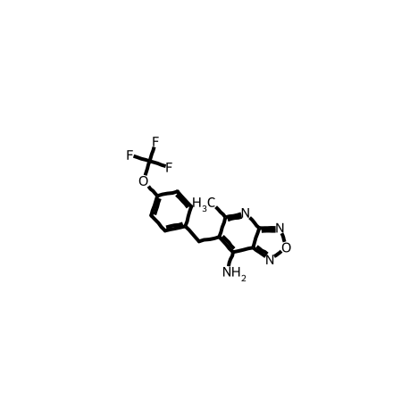 Cc1nc2nonc2c(N)c1Cc1ccc(OC(F)(F)F)cc1